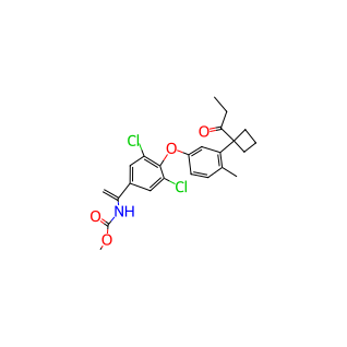 C=C(NC(=O)OC)c1cc(Cl)c(Oc2ccc(C)c(C3(C(=O)CC)CCC3)c2)c(Cl)c1